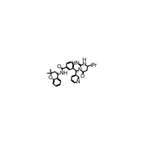 CC(C)C1CC(=O)N([C@@H](c2cccnc2)c2cccc(C(=O)N[C@H]3CC(C)(C)Oc4ccccc43)c2)C(=N)N1